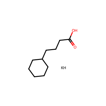 O=C(O)CCCC1CCCCC1.[KH]